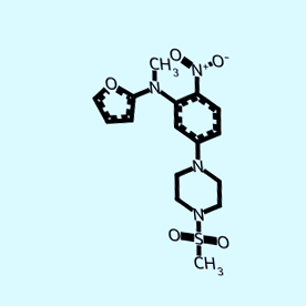 CN(c1ccco1)c1cc(N2CCN(S(C)(=O)=O)CC2)ccc1[N+](=O)[O-]